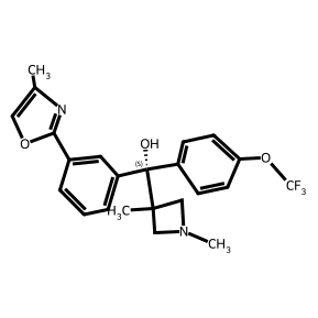 Cc1coc(-c2cccc([C@@](O)(c3ccc(OC(F)(F)F)cc3)C3(C)CN(C)C3)c2)n1